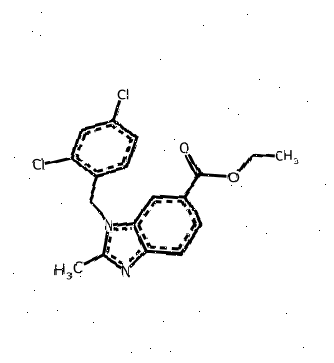 CCOC(=O)c1ccc2nc(C)n(Cc3ccc(Cl)cc3Cl)c2c1